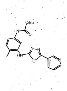 Cc1ccc(NC(=O)OCC(C)C)cc1Nc1nnc(-c2cccnc2)o1